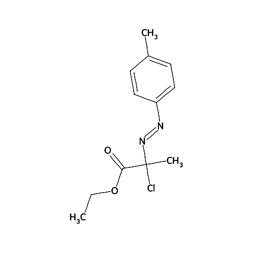 CCOC(=O)C(C)(Cl)N=Nc1ccc(C)cc1